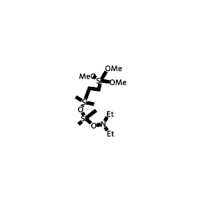 CCN(CC)O[Si](C)(C)O[Si](C)(C)CC[Si](OC)(OC)OC